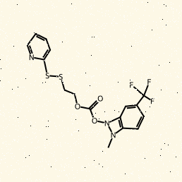 Cn1c2ccc(C(F)(F)F)cc2n1OC(=O)OCCSSc1ccccn1